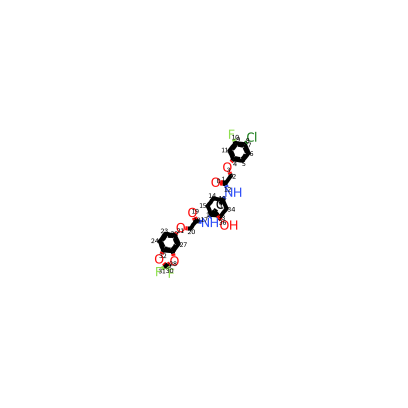 O=C(COc1ccc(Cl)c(F)c1)NC12CCC(NC(=O)COc3ccc4c(c3)OC(F)(F)O4)(CC1)C(O)C2